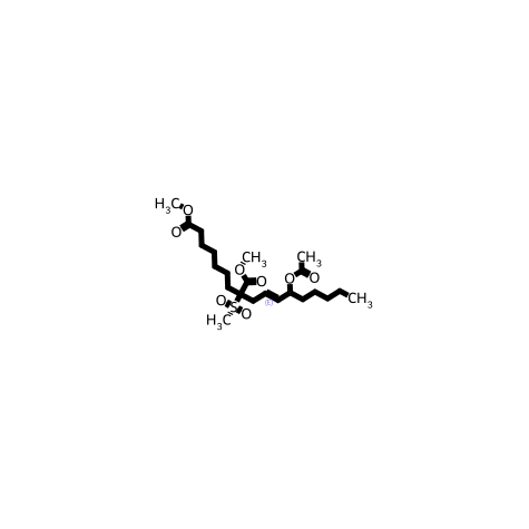 CCCCCC(/C=C/CC(CCCCCCC(=O)OC)(C(=O)OC)S(C)(=O)=O)OC(C)=O